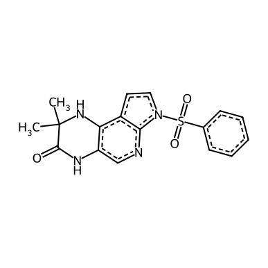 CC1(C)Nc2c(cnc3c2ccn3S(=O)(=O)c2ccccc2)NC1=O